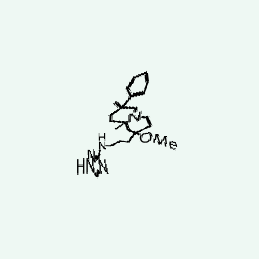 COC1(CCCNc2nc[nH]n2)CCN2CC(C)(c3ccccc3)CCC2(C)C1